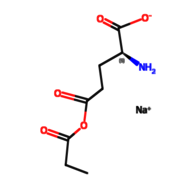 CCC(=O)OC(=O)CC[C@H](N)C(=O)[O-].[Na+]